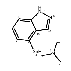 CN(C)C.[SnH][c]1cccc2[nH]ncc12